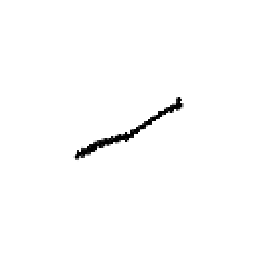 CCCCCCCCCCCCCCCCCCCCCCCCCCCCCCCC(C)CC